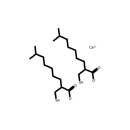 CC(C)CCCCCC(CS)C(=O)[O-].CC(C)CCCCCC(CS)C(=O)[O-].[Ca+2]